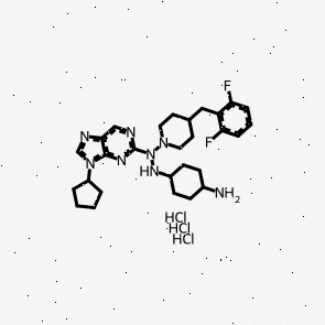 Cl.Cl.Cl.NC1CCC(NN(c2ncc3ncn(C4CCCC4)c3n2)N2CCC(Cc3c(F)cccc3F)CC2)CC1